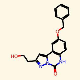 O=c1[nH]c2ccc(OCc3ccccc3)cc2c2cc(CCO)nn12